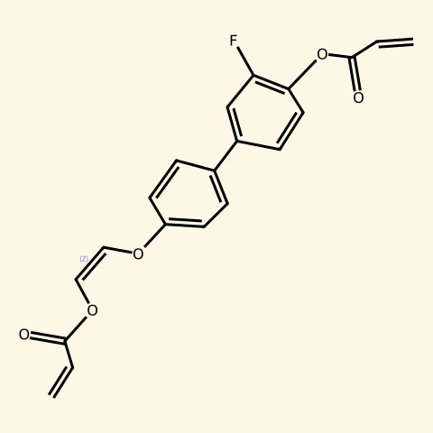 C=CC(=O)O/C=C\Oc1ccc(-c2ccc(OC(=O)C=C)c(F)c2)cc1